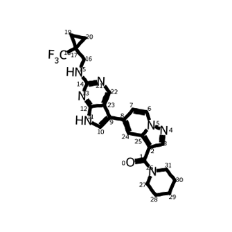 O=C(c1cnn2ccc(-c3c[nH]c4nc(NCC5(C(F)(F)F)CC5)ncc34)cc12)N1CCCCC1